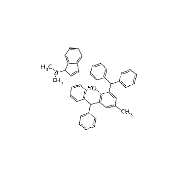 Cc1cc(C(c2ccccc2)c2ccccc2)c(O)c(C(c2ccccc2)c2ccccc2)c1.[CH3][Zr]([CH3])[CH]1C=Cc2ccccc21